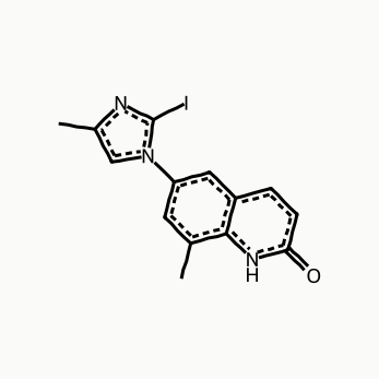 Cc1cn(-c2cc(C)c3[nH]c(=O)ccc3c2)c(I)n1